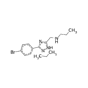 CCC.CCCNCc1nc(-c2ccc(Br)cc2)n[nH]1